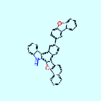 c1ccc2c(c1)ccc1c2oc2c3[nH]c4ccccc4c3c3cc(-c4ccc5oc6ccccc6c5c4)ccc3c12